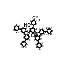 N#Cc1cc(C(F)(F)F)ccc1-c1cc(-n2c3ccc(-c4ccccc4)cc3c3cc(-c4ccccc4)ccc32)c(C#N)c(-n2c3ccc(-c4ccccc4)cc3c3cc(-c4ccccc4)ccc32)c1